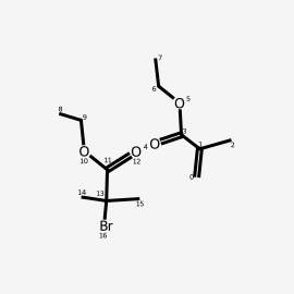 C=C(C)C(=O)OCC.CCOC(=O)C(C)(C)Br